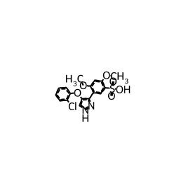 COc1cc(OC)c(S(=O)(=O)O)cc1-c1n[nH]cc1Oc1ccccc1Cl